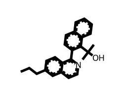 CCCc1ccc2c(-c3ccc4ccccc4c3C(C)(C)O)nccc2c1